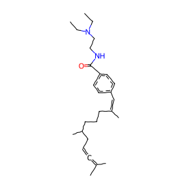 CCN(CC)CCNC(=O)c1ccc(C=C(C)CCCC(C)CC=C=C(C)C)cc1